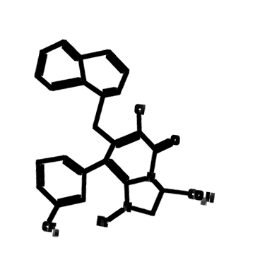 CCN1CC(C(=O)O)n2c1c(-c1cccc(C(F)(F)F)c1)c(Cc1cccc3ccccc13)c(Cl)c2=O